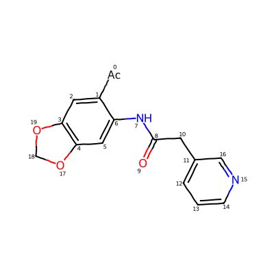 CC(=O)c1cc2c(cc1NC(=O)Cc1cccnc1)OCO2